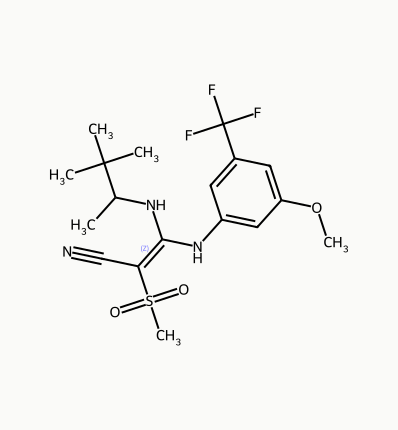 COc1cc(N/C(NC(C)C(C)(C)C)=C(/C#N)S(C)(=O)=O)cc(C(F)(F)F)c1